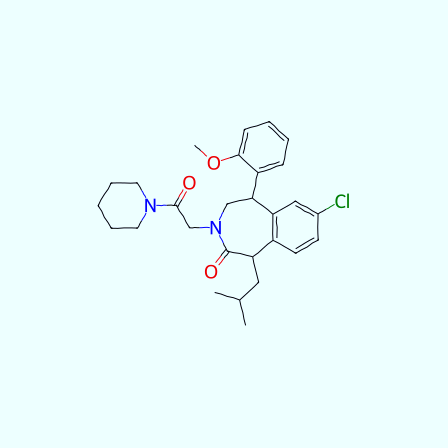 COc1ccccc1C1CN(CC(=O)N2CCCCC2)C(=O)C(CC(C)C)c2ccc(Cl)cc21